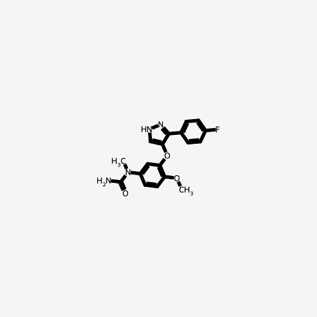 COc1ccc(N(C)C(N)=O)cc1Oc1c[nH]nc1-c1ccc(F)cc1